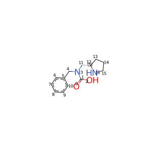 O=C(O)N(Cc1ccccc1)C[C@@H]1CCCN1